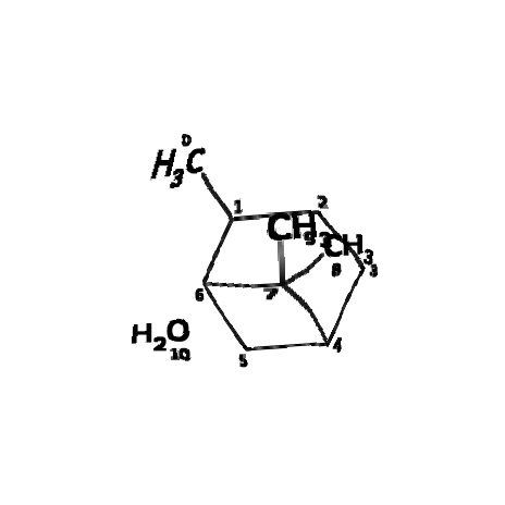 CC1CCC2CC1C2(C)C.O